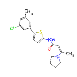 CC(=CC(=O)Nc1ccc(-c2cc(C)cc(Cl)c2)s1)N1CCCC1